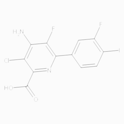 Nc1c(F)c(-c2ccc(I)c(F)c2)nc(C(=O)O)c1Cl